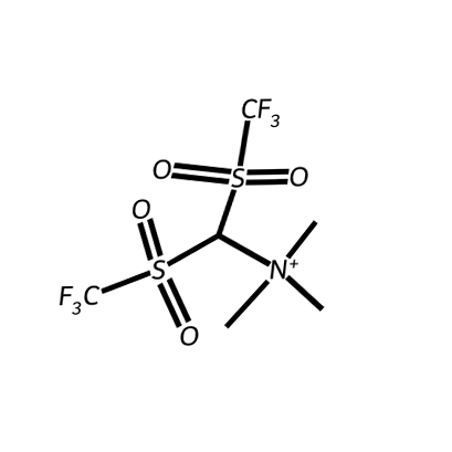 C[N+](C)(C)C(S(=O)(=O)C(F)(F)F)S(=O)(=O)C(F)(F)F